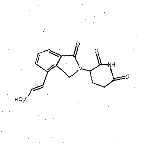 O=C(O)/C=C/c1cccc2c1CN(C1CCC(=O)NC1=O)C2=O